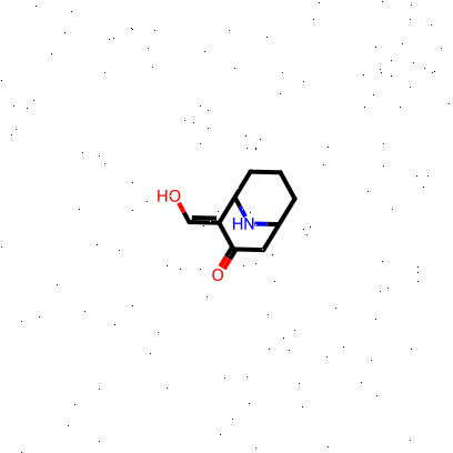 O=C1CC2CCCC(N2)C1=CO